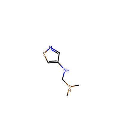 C[SH](C)CNc1cnsc1